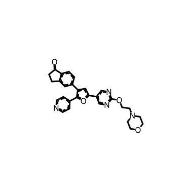 O=C1CCc2cc(-c3cc(-c4cnc(OCCN5CCOCC5)nc4)oc3-c3ccncc3)ccc21